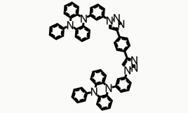 c1ccc(N2c3ccccc3N(c3cccc(-n4cc(-c5ccc(-c6cn(-c7cccc(N8c9ccccc9N(c9ccccc9)c9ccccc98)c7)nn6)cc5)nn4)c3)c3ccccc32)cc1